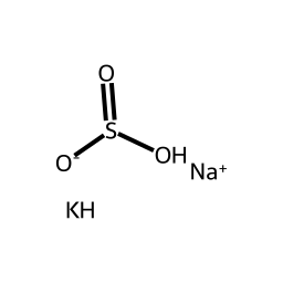 O=S([O-])O.[KH].[Na+]